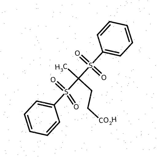 CC(CCC(=O)O)(S(=O)(=O)c1ccccc1)S(=O)(=O)c1ccccc1